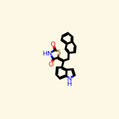 O=C1NC(=O)C(=C(Cc2ccc3ccccc3c2)c2cccc3[nH]ccc23)S1